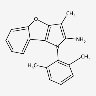 Cc1cccc(C)c1-n1c(N)c(C)c2oc3ccccc3c21